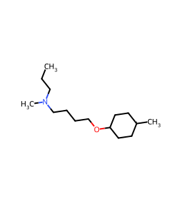 CCCN(C)CCCCOC1CC[C](C)CC1